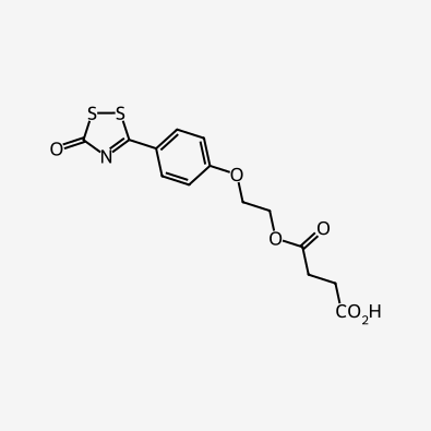 O=C(O)CCC(=O)OCCOc1ccc(-c2nc(=O)ss2)cc1